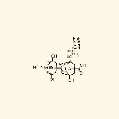 Cl.O.O.O=C(O)CC(O)(CC(=O)O)C(=O)O.O=C(O)CC(O)(CC(=O)O)C(=O)O.[NaH].[NaH].[NaH].[NaH].[NaH].[NaH]